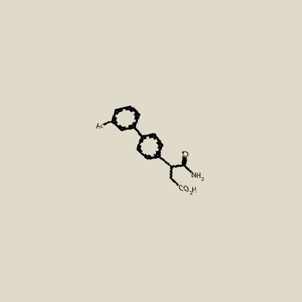 CC(=O)c1cccc(-c2ccc(C(CC(=O)O)C(N)=O)cc2)c1